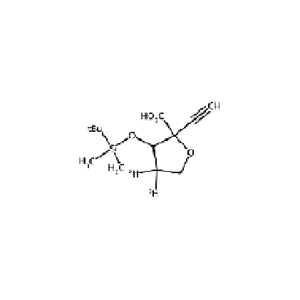 [2H]C1([2H])COC(C#C)(C(=O)O)C1O[Si](C)(C)C(C)(C)C